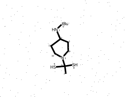 CC(C)(C)NC1CCN(C(C)(S)S)CC1